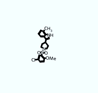 COc1ccc(Cl)cc1S(=O)(=O)N1CCC(c2c[nH]c3c(C)cccc23)CC1